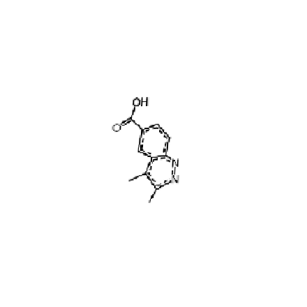 Cc1nnc2ccc(C(=O)O)cc2c1C